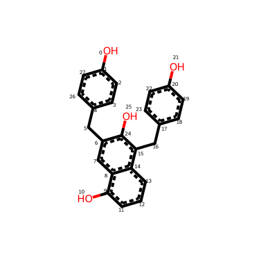 Oc1ccc(Cc2cc3c(O)cccc3c(Cc3ccc(O)cc3)c2O)cc1